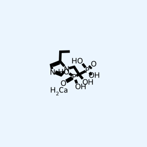 CCc1cncn1CC(O)(P(=O)(O)O)P(=O)(O)O.[CaH2]